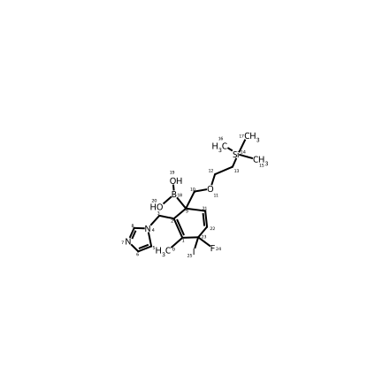 CC1=C(Cn2ccnc2)C(COCC[Si](C)(C)C)(B(O)O)C=CC1(F)I